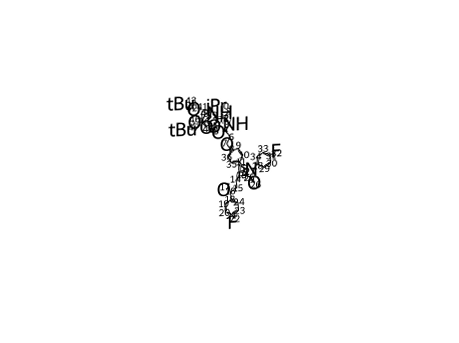 CC(C)C[C@@H](NC(=O)COc1ccc([C@@H]2[C@@H](CCC(=O)c3ccc(F)cc3)C(=O)N2c2ccc(F)cc2)cc1)C(=O)N[C@@H](COC(C)(C)C)C(=O)OC(C)(C)C